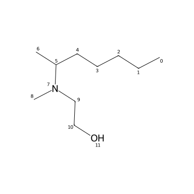 CCCCCC(C)N(C)CCO